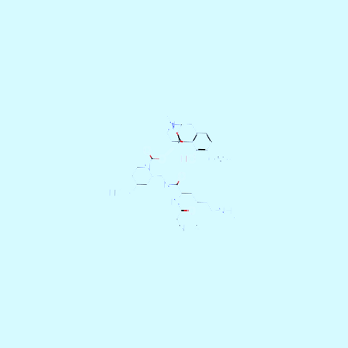 COc1ccc2c(c1O)C13CCN(C)C(C2)[C@@H]1CC=C(OC(=O)N1CCC(C(=O)O)CC1CNC(=O)C(CCCCN)NC(=O)CNC(C)=O)C3